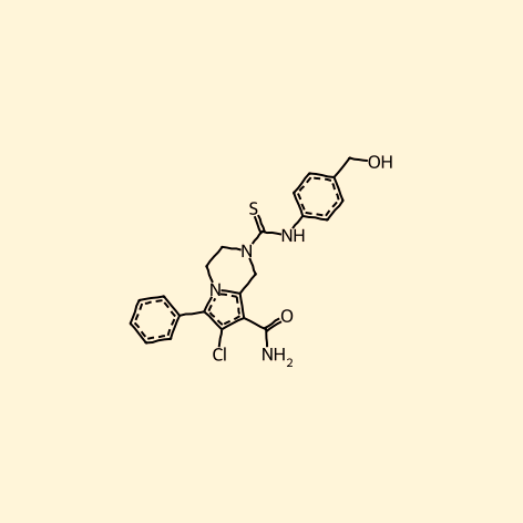 NC(=O)c1c(Cl)c(-c2ccccc2)n2c1CN(C(=S)Nc1ccc(CO)cc1)CC2